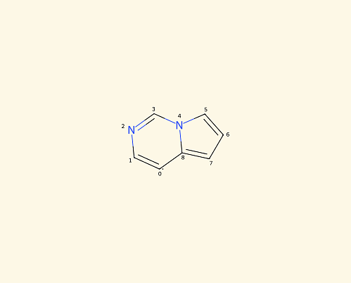 [c]1cncn2cccc12